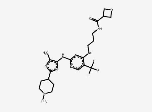 Cc1nc(C2CCN(C)CC2)sc1Nc1ncc(C(F)(F)F)c(NCCCNC(=O)C2COC2)n1